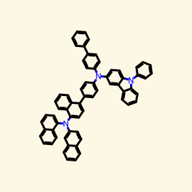 c1ccc(-c2ccc(N(c3ccc(-c4ccc(N(c5ccc6ccccc6c5)c5cccc6ccccc56)c5ccccc45)cc3)c3ccc4c(c3)c3ccccc3n4-c3ccccc3)cc2)cc1